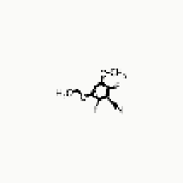 CCOc1cc(OC)c(F)c(C#N)c1F